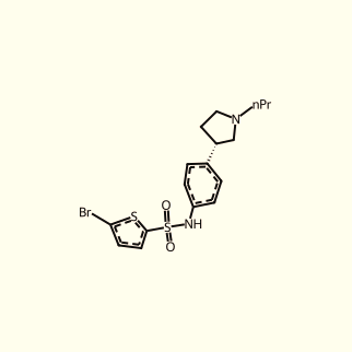 CCCN1CC[C@@H](c2ccc(NS(=O)(=O)c3ccc(Br)s3)cc2)C1